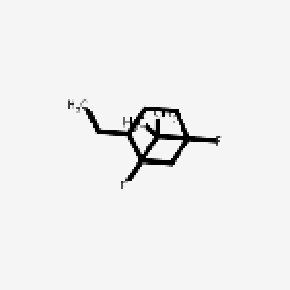 CCC1CCC2(F)CC1(F)C2(C)C